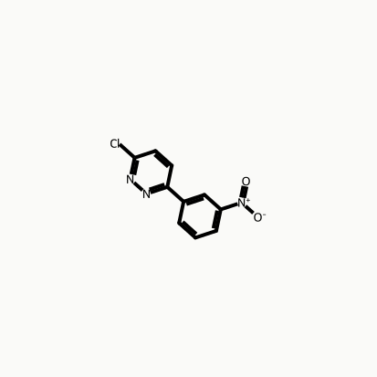 O=[N+]([O-])c1cccc(-c2ccc(Cl)nn2)c1